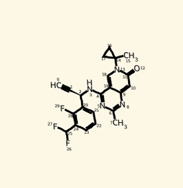 C#C[C@@H](Nc1nc(C)nc2cc(=O)n(C3(C)CC3)cc12)c1cccc(C(F)F)c1F